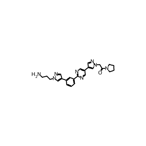 NCCCn1cc(-c2cccc(-c3ncc(-c4cnn(CC(=O)N5CCCC5)c4)cn3)c2)cn1